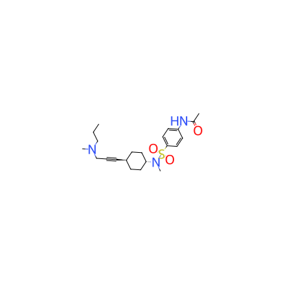 CCCN(C)CC#C[C@H]1CC[C@H](N(C)S(=O)(=O)c2ccc(NC(C)=O)cc2)CC1